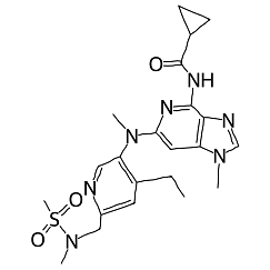 CCc1cc(CN(C)S(C)(=O)=O)ncc1N(C)c1cc2c(ncn2C)c(NC(=O)C2CC2)n1